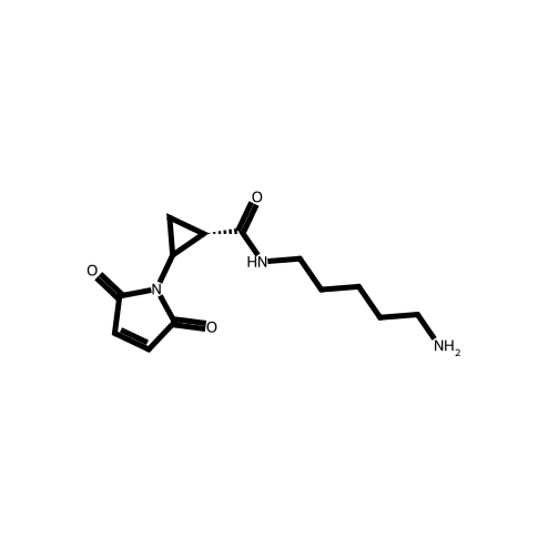 NCCCCCNC(=O)[C@H]1CC1N1C(=O)C=CC1=O